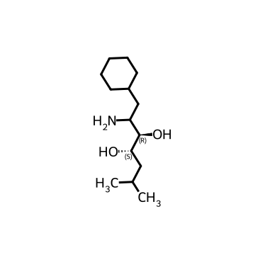 CC(C)C[C@H](O)[C@H](O)C(N)CC1CCCCC1